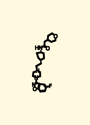 O=C(CC1CCOCC1)N[C@H]1CC[C@H](CCN2CCN(c3noc4ccc(F)cc34)CC2)CC1